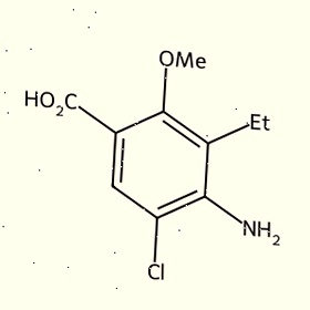 CCc1c(N)c(Cl)cc(C(=O)O)c1OC